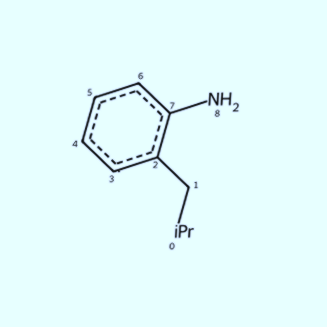 CC(C)Cc1[c]cccc1N